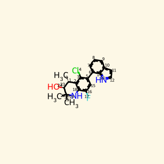 C[C@@H]1c2c(Cl)c(-c3cccc4cc[nH]c34)cc(F)c2NC(C)(C)[C@H]1O